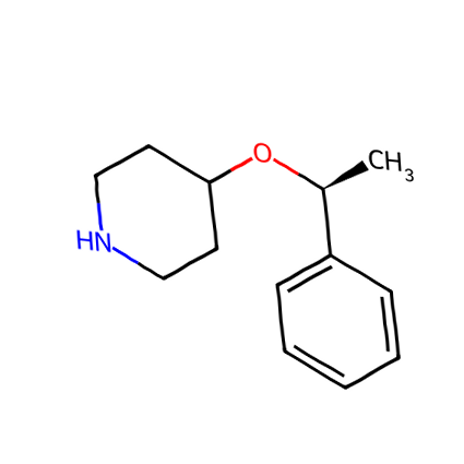 C[C@H](OC1CCNCC1)c1ccccc1